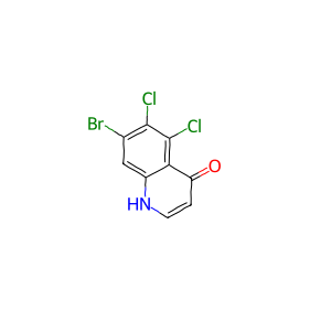 O=c1cc[nH]c2cc(Br)c(Cl)c(Cl)c12